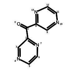 O=C(c1cnccn1)c1cnccn1